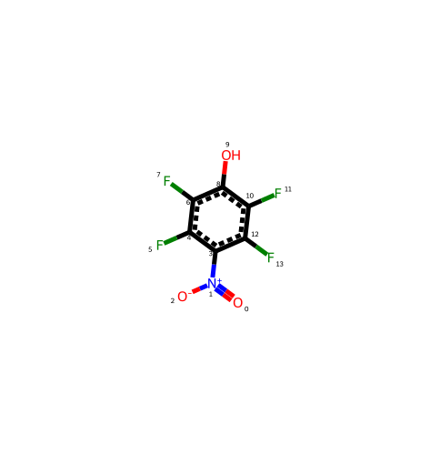 O=[N+]([O-])c1c(F)c(F)c(O)c(F)c1F